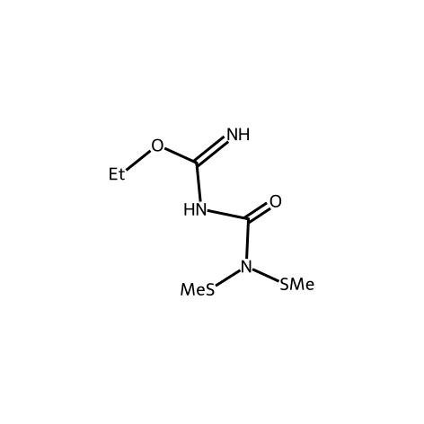 CCOC(=N)NC(=O)N(SC)SC